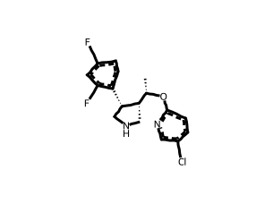 C[C@H](Oc1ccc(Cl)cn1)[C@@H]1CNC[C@@H]1c1ccc(F)cc1F